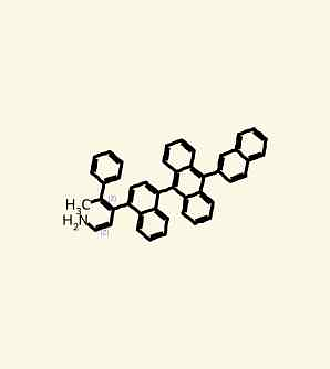 C/C(=C(\C=C/N)c1ccc(-c2c3ccccc3c(-c3ccc4ccccc4c3)c3ccccc23)c2ccccc12)c1ccccc1